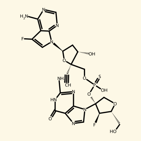 C#C[C@]1(COP(O)(=S)O[C@]2(n3cnc4c(=O)[nH]c(N)nc43)CO[C@H](CO)[C@H]2F)O[C@@H](n2cc(F)c3c(N)ncnc32)C[C@@H]1O